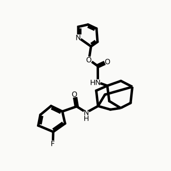 O=C(NC12CC3CC(C1)CC(NC(=O)c1cccc(F)c1)(C3)C2)Oc1ccccn1